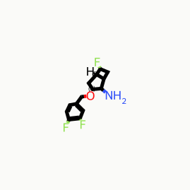 NC1C2CC(F)[C@@H]2C[C@H]1OCc1ccc(F)c(F)c1